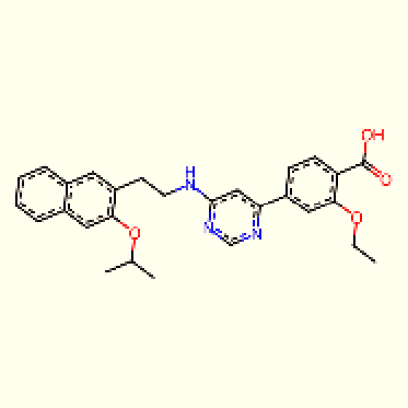 CCOc1cc(-c2cc(NCCc3cc4ccccc4cc3OC(C)C)ncn2)ccc1C(=O)O